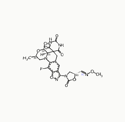 CO/N=C/[C@H]1CN(c2noc3c(F)c4c(cc23)CC2(C(=O)NC(=O)NC2=O)[C@H]2[C@H](C)O[C@H](C)CN42)C(=O)O1